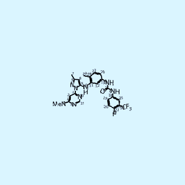 CNc1cc(-n2nc(C)cc2Nc2cc(NC(=O)Nc3ccc(F)c(C(F)(F)F)c3)ccc2C)ncn1